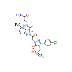 C[C@](NC(=O)Cn1nc(-c2ccc(Cl)cc2)n(C[C@H](O)C(F)(F)F)c1=O)(C(=O)NCCC(N)=O)c1cccc(C(F)(F)F)c1